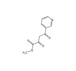 COC(=O)C(=O)CC(=O)c1cccnc1